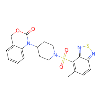 Cc1ccc2nsnc2c1S(=O)(=O)N1CCC(N2C(=O)OCc3ccccc32)CC1